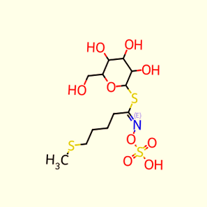 CSCCCC/C(=N\OS(=O)(=O)O)SC1OC(CO)C(O)C(O)C1O